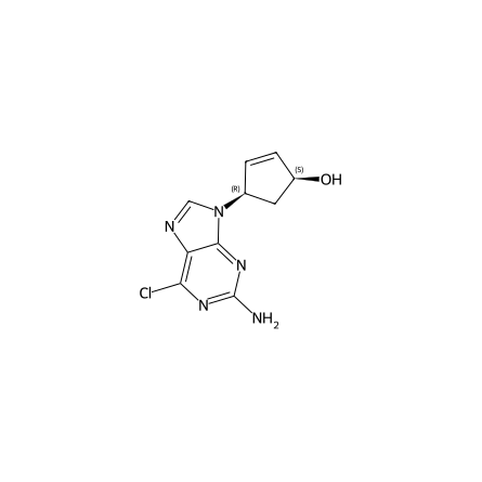 Nc1nc(Cl)c2ncn([C@H]3C=C[C@@H](O)C3)c2n1